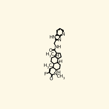 CN1C(=O)C(F)=C[C@]2(C)C3CC[C@]4(C)C(C(=O)NCc5nc6ncccc6[nH]5)CC[C@H]4[C@@H]3CC[C@@H]12